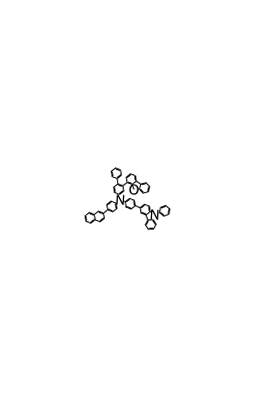 c1ccc(-c2ccc(N(c3ccc(-c4ccc5ccccc5c4)cc3)c3ccc(-c4ccc5c(c4)c4ccccc4n5-c4ccccc4)cc3)cc2-c2cccc3c2oc2ccccc23)cc1